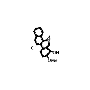 COc1ccc2c(c[n+](C)c3c4ccccc4ccc23)c1O.[Cl-]